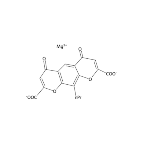 CCCc1c2oc(C(=O)[O-])cc(=O)c2cc2c(=O)cc(C(=O)[O-])oc12.[Mg+2]